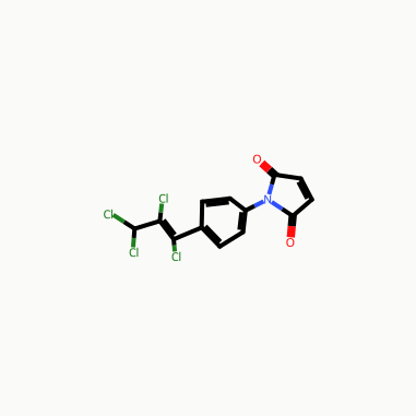 O=C1C=CC(=O)N1c1ccc(C(Cl)=C(Cl)C(Cl)Cl)cc1